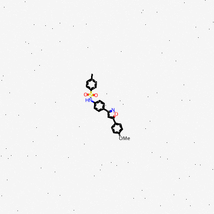 COc1ccc(-c2cc(-c3ccc(NS(=O)(=O)c4ccc(C)cc4)cc3)no2)cc1